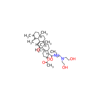 CC(=O)O[C@@H]1CC[C@@]2(C)C(CC[C@]3(C)C2C(=O)C=C2C4[C@@H](C)[C@H](C)CC[C@]4(C)CC[C@]23C)[C@@]1(C)C(=O)NCCN(CCO)CCO